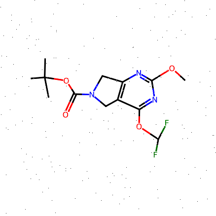 COc1nc2c(c(OC(F)F)n1)CN(C(=O)OC(C)(C)C)C2